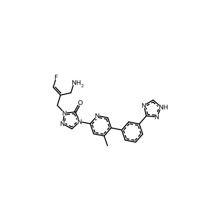 Cc1cc(-n2cnn(C/C(=C/F)CN)c2=O)ncc1-c1cccc(-c2nc[nH]n2)c1